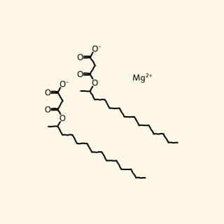 CCCCCCCCCCCCC(C)OC(=O)CC(=O)[O-].CCCCCCCCCCCCC(C)OC(=O)CC(=O)[O-].[Mg+2]